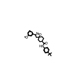 COc1cccc(C2=NOC3(CCC(C(=O)Nc4ccc(C(C)(C)C)cc4)CC3)C2)c1